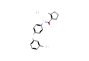 Cc1cccc(Sc2ccc(NC(=O)C3=C(C(=O)O)CCC3)cc2)c1